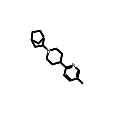 Cc1ccc(C2CCN(C3CC4CCC3C4)CC2)nc1